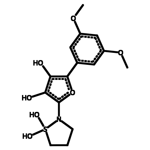 COc1cc(OC)cc(-c2oc(N3CCCS3(O)O)c(O)c2O)c1